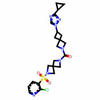 O=C(N1CC2(CC(n3cnc(C4CC4)n3)C2)C1)N1CC2(C1)CN(S(=O)(=O)c1cccnc1Cl)C2